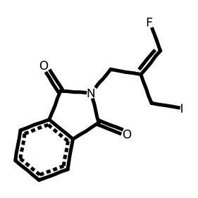 O=C1c2ccccc2C(=O)N1C/C(=C\F)CI